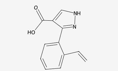 C=Cc1ccccc1-c1n[nH]cc1C(=O)O